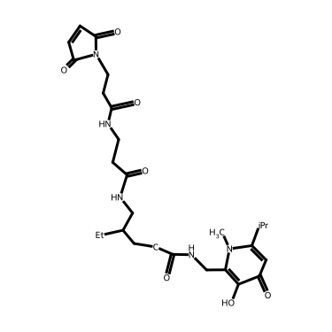 CCC(CCC(=O)NCc1c(O)c(=O)cc(C(C)C)n1C)CNC(=O)CCNC(=O)CCN1C(=O)C=CC1=O